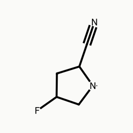 N#CC1CC(F)C[N]1